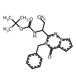 CCC(NC(=O)OC(C)(C)C)c1nn2cccc2c(=O)n1Cc1ccccc1